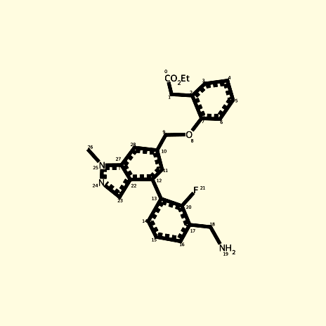 CCOC(=O)Cc1ccccc1OCc1cc(-c2cccc(CN)c2F)c2cnn(C)c2c1